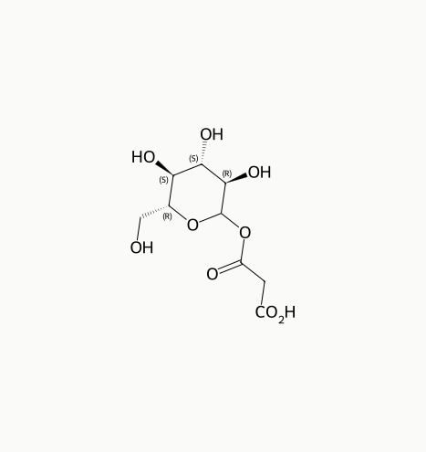 O=C(O)CC(=O)OC1O[C@H](CO)[C@@H](O)[C@H](O)[C@H]1O